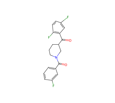 O=C(c1cc(F)ccc1F)C1CCCN(C(=O)c2cccc(F)c2)C1